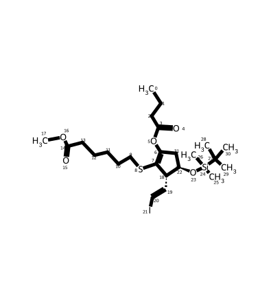 CCCC(=O)OC1=C(SCCCCCC(=O)OC)[C@@H](C=CI)[C@H](O[Si](C)(C)C(C)(C)C)C1